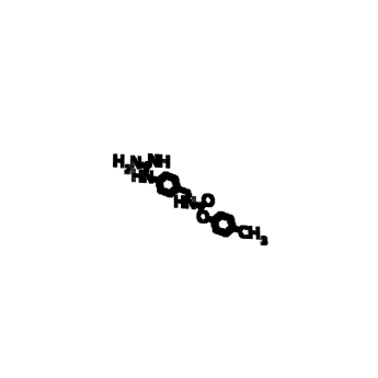 Cc1ccc(OC(=O)NCc2ccc(NC(=N)N)cc2)cc1